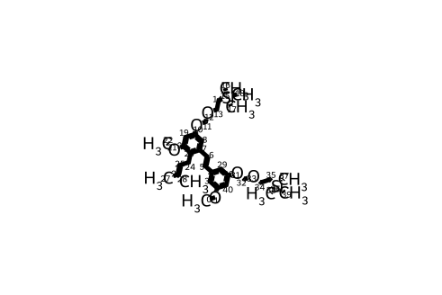 COc1cc(C=Cc2cc(OCOCC[Si](C)(C)C)cc(OC)c2CC=C(C)C)cc(OCOCC[Si](C)(C)C)c1